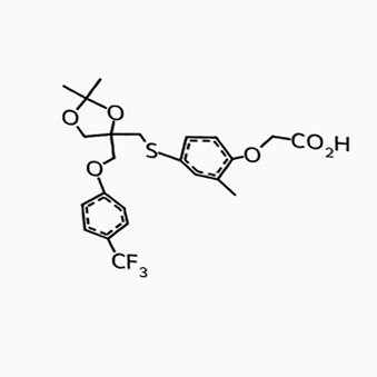 Cc1cc(SCC2(COc3ccc(C(F)(F)F)cc3)COC(C)(C)O2)ccc1OCC(=O)O